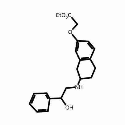 CCOC(=O)COc1ccc2c(c1)CC(NCC(O)c1ccccc1)CC2